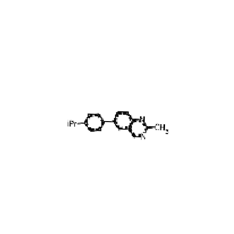 Cc1ncc2cc(-c3ccc(C(C)C)cc3)ccc2n1